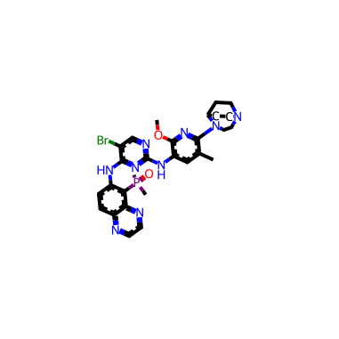 COc1nc(N2CCN3CCC2CC3)c(C)cc1Nc1ncc(Br)c(Nc2ccc3nccnc3c2P(C)(C)=O)n1